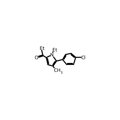 CCC(=O)c1cc(C)c(-c2ccc(Cl)cc2)n1CC